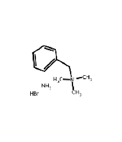 Br.C[N+](C)(C)Cc1ccccc1.N